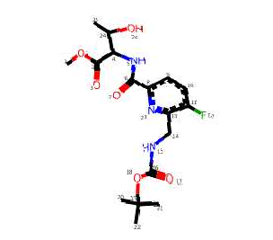 COC(=O)C(NC(=O)c1ccc(F)c(CNC(=O)OC(C)(C)C)n1)C(C)O